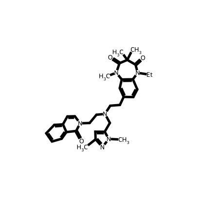 CCN1C(=O)C(C)(C)C(=O)N(C)c2cc(CCN(CCn3ccc4ccccc4c3=O)Cc3cc(C)nn3C)ccc21